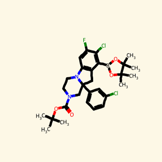 CC(C)(C)OC(=O)N1CCN2c3cc(F)c(Cl)c(B4OC(C)(C)C(C)(C)O4)c3CC2(c2cccc(Cl)c2)C1